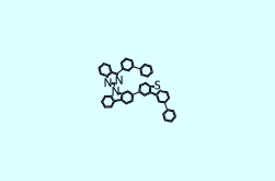 c1ccc(-c2cccc(-c3nc(-n4c5ccccc5c5ccc(-c6ccc7sc8ccc(-c9ccccc9)cc8c7c6)cc54)nc4ccccc34)c2)cc1